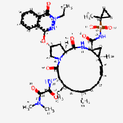 CCn1nc(O[C@@H]2C[C@H]3C(=O)N[C@]4(C(=O)NS(=O)(=O)C5(C)CC5)C[C@H]4/C=C\CC[C@H](C)C[C@@H](C)[C@H](NC(=O)C(=O)N(C)C)C(=O)N3C2)c2ccccc2c1=O